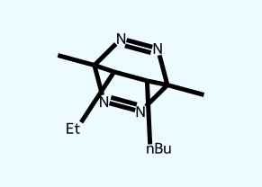 CCCCC1C(CC)C2(C)N=NC1(C)N=N2